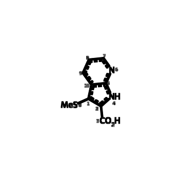 CSc1c(C(=O)O)[nH]c2ncccc12